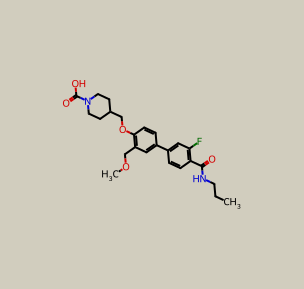 CCCNC(=O)c1ccc(-c2ccc(OCC3CCN(C(=O)O)CC3)c(COC)c2)cc1F